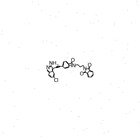 Nc1ncc2ccc(Cl)cc2c1C#Cc1ccc(C(=O)NCCCN2C(=O)c3ccccc3C2=O)cc1